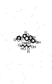 C[C@]12CC[C@H](O)C[C@H]1CC[C@@H]1[C@@H]2CC[C@]2(C)[C@@H](c3ccc(=O)oc3)C[C@H]3O[C@]132.O=C[C@H](O)[C@@H](O)[C@@H](O)[C@H](O)CO